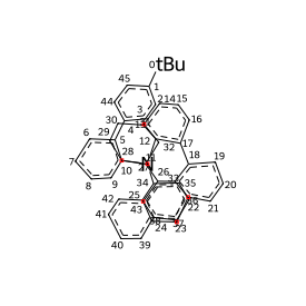 CC(C)(C)c1ccc(-c2ccccc2N(c2ccccc2-c2cccc3cccc(C4CCCCC4)c23)c2cccc3ccccc23)cc1